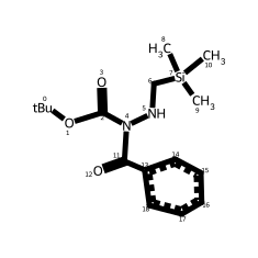 CC(C)(C)OC(=O)N(NC[Si](C)(C)C)C(=O)c1ccccc1